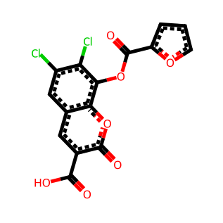 O=C(Oc1c(Cl)c(Cl)cc2cc(C(=O)O)c(=O)oc12)c1ccco1